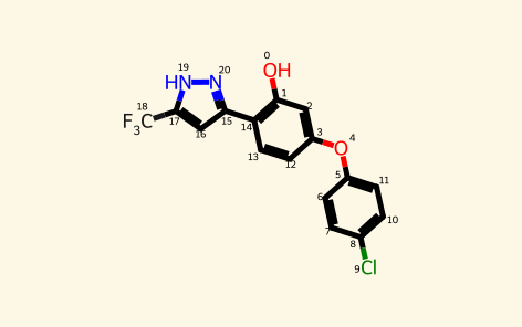 Oc1cc(Oc2ccc(Cl)cc2)ccc1-c1cc(C(F)(F)F)[nH]n1